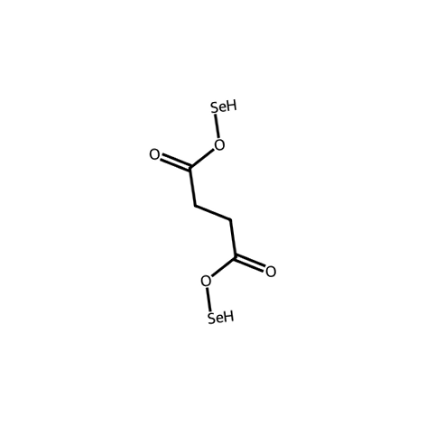 O=C(CCC(=O)O[SeH])O[SeH]